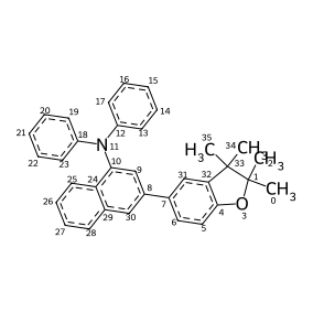 CC1(C)Oc2ccc(-c3cc(N(c4ccccc4)c4ccccc4)c4ccccc4c3)cc2C1(C)C